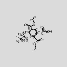 CCOC(=O)c1cc(OS(=O)(=O)C(F)(F)F)c(C(=O)OCC)cc1CC(=O)O